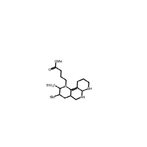 CCOC(=O)C1C(C(C)(C)C)CC2CNC3NCCCC3=C2N1CCCC(=O)OC